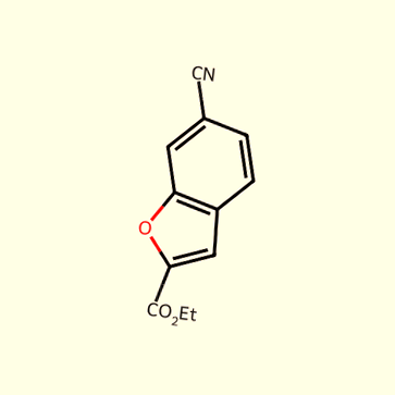 CCOC(=O)c1cc2ccc(C#N)cc2o1